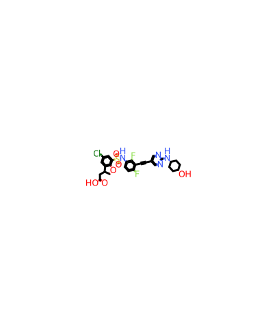 O=C(O)CC1COc2c1cc(Cl)cc2S(=O)(=O)Nc1ccc(F)c(C#Cc2cnc(N[C@H]3CC[C@H](O)CC3)nc2)c1F